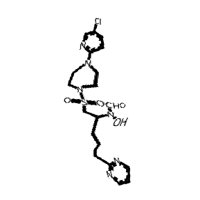 O=CN(O)C(CCCc1ncccn1)CS(=O)(=O)N1CCN(c2ccc(Cl)cn2)CC1